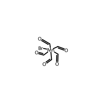 O=[CH][Mn]([Br])([CH]=O)([CH]=O)([CH]=O)[CH]=O